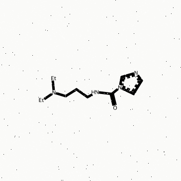 CCN(CC)CCCNC(=O)n1ccnc1